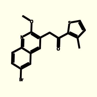 COc1nc2ccc(Br)cc2cc1CC(=O)c1sccc1C